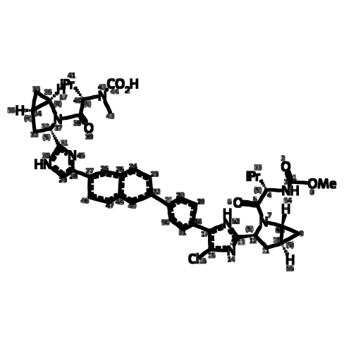 COC(=O)N[C@H](C(=O)N1[C@@H]2C[C@H]2C[C@H]1c1nc(Cl)c(-c2ccc(-c3ccc4cc(-c5c[nH]c([C@@H]6C[C@H]7C[C@H]7N6C(=O)[C@H](C(C)C)N(C)C(=O)O)n5)ccc4c3)cc2)[nH]1)C(C)C